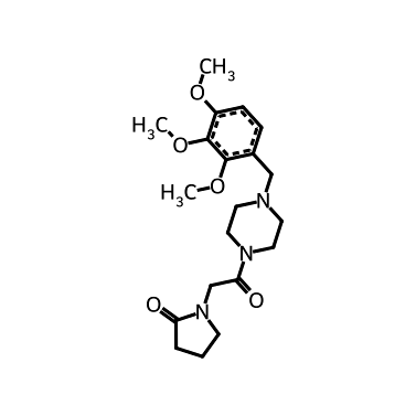 COc1ccc(CN2CCN(C(=O)CN3CCCC3=O)CC2)c(OC)c1OC